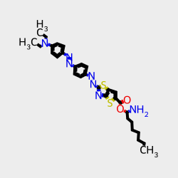 CCCCCCCC(N)OC(=O)c1cc2sc(/N=N/c3ccc(/N=N/c4ccc(N(CC)CC)cc4)cc3)nc2s1